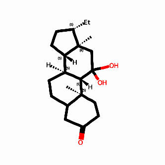 CC[C@H]1CC[C@H]2[C@@H]3CCC4CC(=O)CC[C@]4(C)[C@H]3C(O)(O)C[C@]12C